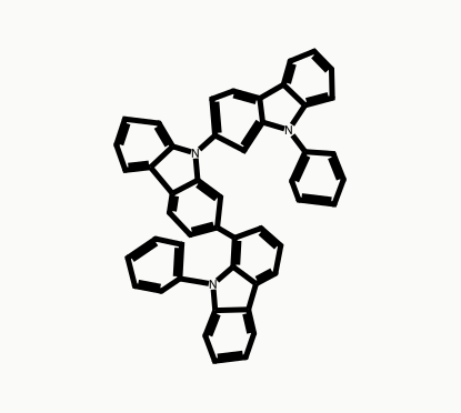 c1ccc(-n2c3ccccc3c3ccc(-n4c5ccccc5c5ccc(-c6cccc7c8ccccc8n(-c8ccccc8)c67)cc54)cc32)cc1